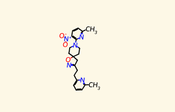 Cc1cccc(CCC2=NOC3(CCN(c4nc(C)ccc4[N+](=O)[O-])CC3)C2)n1